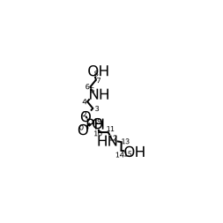 O=[PH](OCCNCCO)OCCNCCO